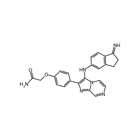 N=C1CCc2cc(Nc3c(-c4ccc(OCC(N)=O)cc4)nc4cnccn34)ccc21